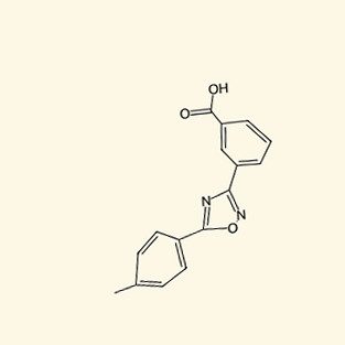 Cc1ccc(-c2nc(-c3cccc(C(=O)O)c3)no2)cc1